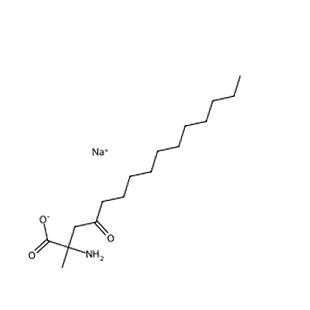 CCCCCCCCCCCC(=O)CC(C)(N)C(=O)[O-].[Na+]